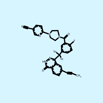 [2H]C([2H])(c1ccc(F)c(C(=O)N2CCN(c3ccc(C#N)cn3)CC2)c1)c1n[nH]c(=O)c2ccc(C#CC)cc12